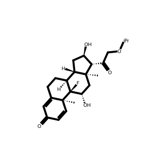 CC(C)OCC(=O)[C@H]1[C@H](O)C[C@H]2[C@@H]3CCC4=CC(=O)C=C[C@]4(C)[C@@]3(F)[C@@H](O)C[C@@]21C